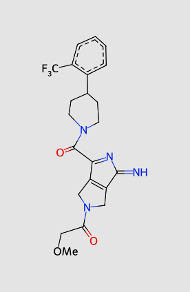 COCC(=O)N1CC2=C(C1)C(C(=O)N1CCC(c3ccccc3C(F)(F)F)CC1)=NC2=N